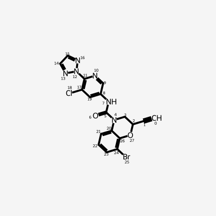 C#CC1CN(C(=O)Nc2cnc(-n3nccn3)c(Cl)c2)c2cccc(Br)c2O1